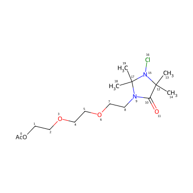 CC(=O)OCCOCCOCCN1C(=O)C(C)(C)N(Cl)C1(C)C